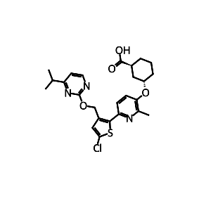 Cc1nc(-c2sc(Cl)cc2COc2nccc(C(C)C)n2)ccc1O[C@H]1CCC[C@H](C(=O)O)C1